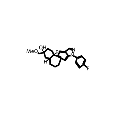 CC[C@]12CC[C@@](O)(COC)C[C@H]1CCCc1cc3c(cnn3-c3ccc(F)cc3)cc12